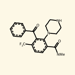 CNC(=O)c1ccc(C(F)(F)F)c(C(=O)c2ccccc2)c1N1CCNCC1